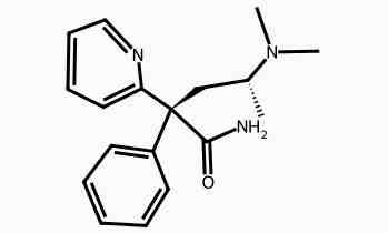 C[C@H](C[C@@](C(N)=O)(c1ccccc1)c1ccccn1)N(C)C